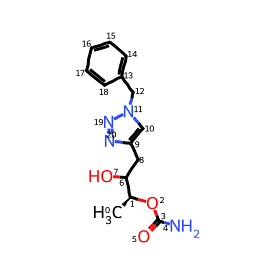 C[C@H](OC(N)=O)C(O)Cc1cn(Cc2ccccc2)nn1